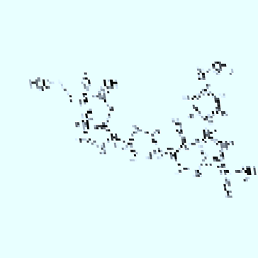 CCCS(=O)(=O)N(C)Cc1nccn1-c1ccc(N2CCc3c(C(N)=O)nn(-c4ccc(OC)cc4)c3C2=O)cc1